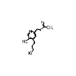 CC(=O)OCc1cc(CCCO)c(O)cn1